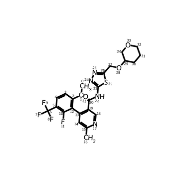 COc1ccc(C(F)(F)F)c(F)c1-c1cc(C)ncc1C(=O)Nc1nnc(COC2CCCOC2)s1